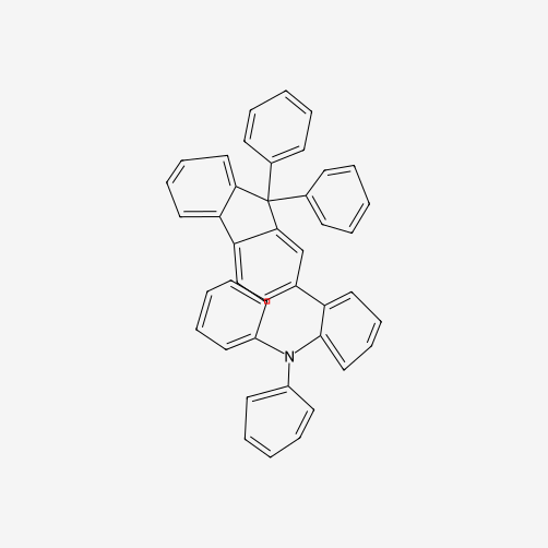 c1ccc(N(c2ccccc2)c2ccccc2-c2ccc3c(c2)C(c2ccccc2)(c2ccccc2)c2ccccc2-3)cc1